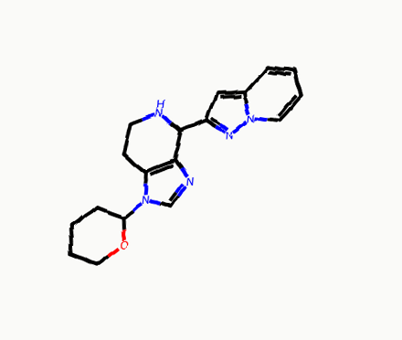 c1ccn2nc(C3NCCc4c3ncn4C3CCCCO3)cc2c1